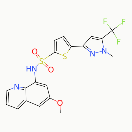 COc1cc(NS(=O)(=O)c2ccc(-c3cc(C(F)(F)F)n(C)n3)s2)c2ncccc2c1